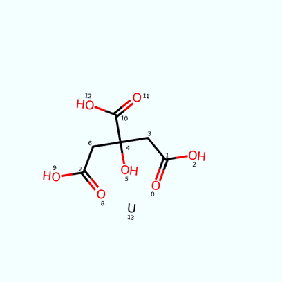 O=C(O)CC(O)(CC(=O)O)C(=O)O.[U]